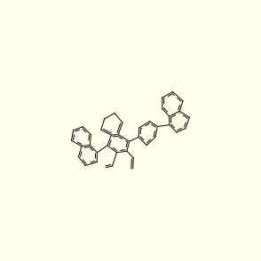 C=Cc1c(C=C)c(-c2cccc3ccccc23)c2c(c1-c1ccc(-c3cccc4ccccc34)cc1)=CCCC=2